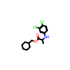 CC(Nc1ccc(Cl)c(Cl)c1)C(=O)OCC1CCCCC1